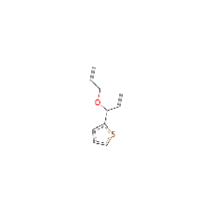 C=CCOC(C=C)c1cccs1